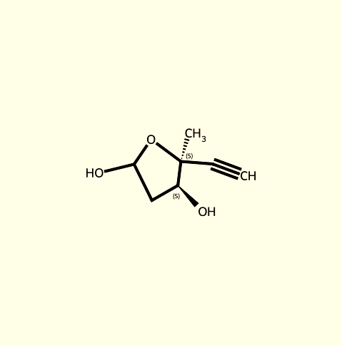 C#C[C@]1(C)OC(O)C[C@@H]1O